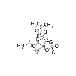 CCOC(=O)[C@@]1(C)OS(=O)(=O)O[C@@H]1[C@H]1COC(C)(C)O1